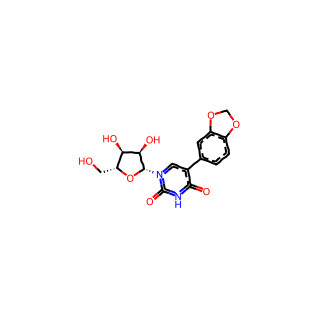 O=c1[nH]c(=O)n([C@@H]2O[C@H](CO)[C@@H](O)[C@H]2O)cc1-c1ccc2c(c1)OCO2